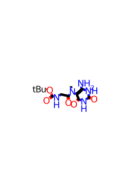 CN(C(=O)CNC(=O)OC(C)(C)C)c1c(N)[nH]c(=O)[nH]c1=O